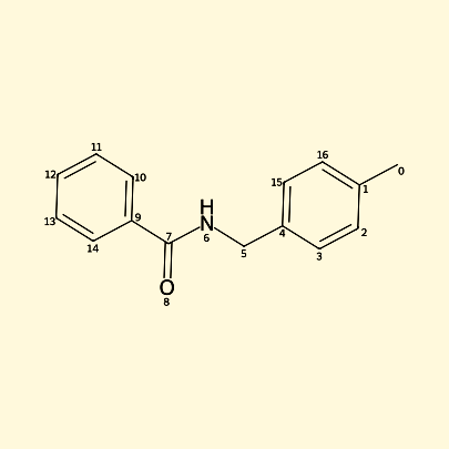 Cc1ccc(CNC(=O)c2ccccc2)cc1